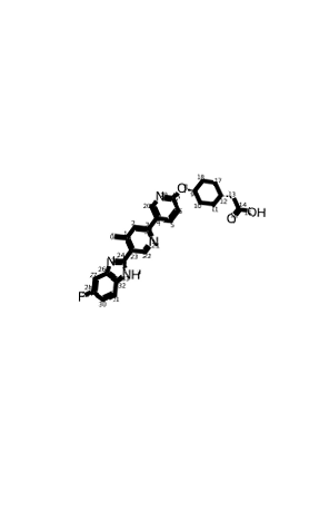 Cc1cc(-c2ccc(O[C@H]3CC[C@@H](CC(=O)O)CC3)nc2)ncc1-c1nc2cc(F)ccc2[nH]1